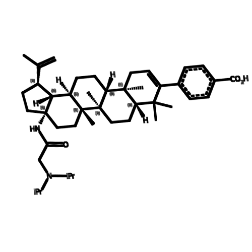 C=C(C)[C@@H]1CC[C@]2(NC(=O)CN(C(C)C)C(C)C)CC[C@]3(C)[C@H](CC[C@@H]4[C@@]5(C)CC=C(c6ccc(C(=O)O)cc6)C(C)(C)[C@@H]5CC[C@]43C)[C@@H]12